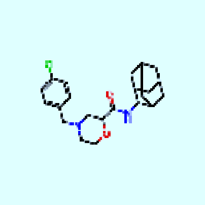 O=C(NC1C2CC3CC(C2)CC1C3)C1CN(Cc2ccc(Cl)cc2)CCO1